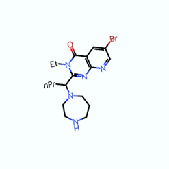 CCCC(c1nc2ncc(Br)cc2c(=O)n1CC)N1CCCNCC1